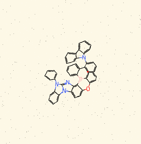 c1ccc(-n2c3ccccc3n3c4ccc5c(c4nc23)B(c2ccccc2-c2ccccc2-n2c3ccccc3c3ccccc32)c2ccccc2O5)cc1